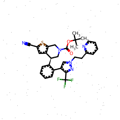 CC(C)(C)OC(=O)N1Cc2sc(C#N)cc2[C@H](c2ccccc2-c2cn(CCc3ccccn3)nc2C(F)(F)F)C1